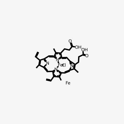 C=CC1=C(C)/C2=C/c3c(C=C)c(C)c4[n]3[Fe]([Cl])[n]3/c(c(C)c(CCC(=O)O)/c3=C/C3=NC(=C\4)/C(C)=C3CCC(=O)O)=C\C1=N2.[Fe]